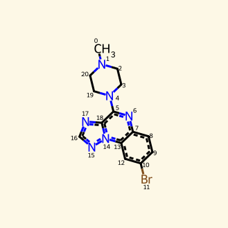 CN1CCN(c2nc3ccc(Br)cc3n3ncnc23)CC1